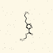 CCCCc1cc(C(=O)OCC)ns1